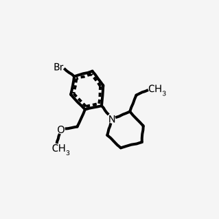 CCC1CCCCN1c1ccc(Br)cc1COC